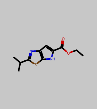 CCOC(=O)c1cc2nc(C(C)C)sc2[nH]1